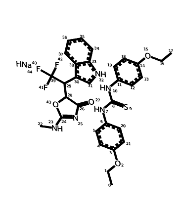 CCOc1ccc(NC(=S)Nc2ccc(OCC)cc2)cc1.CNC1=NC(=O)C(C(c2c[nH]c3ccccc23)C(F)(F)F)O1.[NaH]